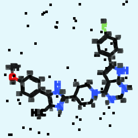 Cc1nc(C2CCN(c3ncnc4[nH]c(-c5ccc(F)cc5)cc34)CC2)[nH]c1-c1ccc(OC(C)C)cc1